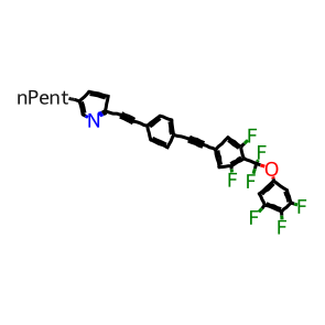 CCCCCc1ccc(C#Cc2ccc(C#Cc3cc(F)c(C(F)(F)Oc4cc(F)c(F)c(F)c4)c(F)c3)cc2)nc1